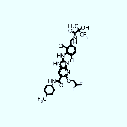 CC(O)(C(=O)NCc1ccc(Cl)c(Nc2nc3nc(OCC(F)F)c(C(=O)N[C@H]4CC[C@H](C(F)(F)F)CC4)cc3[nH]2)c1Cl)C(F)(F)F